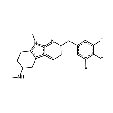 CNC1CCc2c(c3c(n2C)=NC(Nc2cc(F)c(F)c(F)c2)CC=3)C1